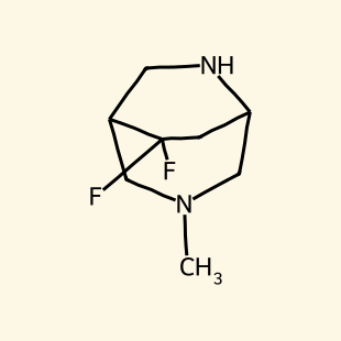 CN1CC2CC(F)(F)C(CN2)C1